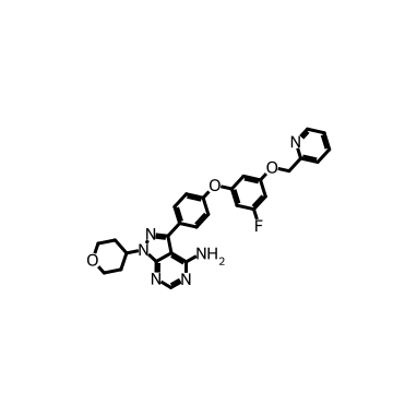 Nc1ncnc2c1c(-c1ccc(Oc3cc(F)cc(OCc4ccccn4)c3)cc1)nn2C1CCOCC1